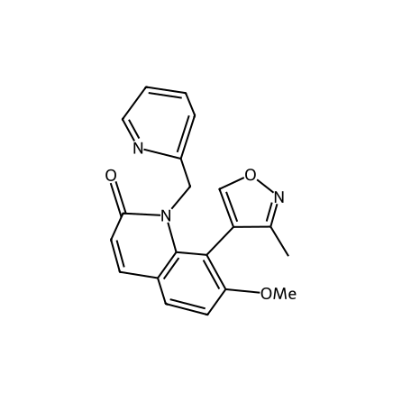 COc1ccc2ccc(=O)n(Cc3ccccn3)c2c1-c1conc1C